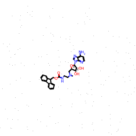 CN(CCNC(=O)OCC1c2ccccc2-c2ccccc21)CC1O[C@@H](n2cnc3c(N)ccnc32)[C@H](O)[C@@H]1O